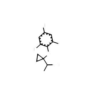 CC(O)C1(Oc2c(F)cc(Cl)cc2F)CC1